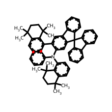 CC1(C)CCC(C)(C)c2c(-c3cc4c(cc3N(c3ccccc3)c3cccc5c3C(C)(C)CCC5(C)C)C3(c5ccccc5-c5ccccc53)c3ccccc3-4)cccc21